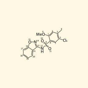 COc1cc(C)c(Cl)cc1S(=O)(=O)Nc1noc2ccccc12